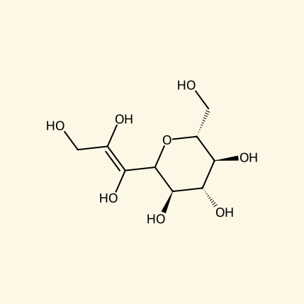 OCC(O)=C(O)C1O[C@H](CO)[C@@H](O)[C@H](O)[C@H]1O